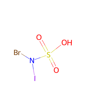 O=S(=O)(O)N(Br)I